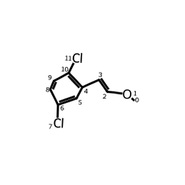 COC=Cc1cc(Cl)ccc1Cl